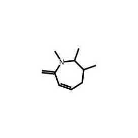 C=C1C=CCC(C)C(C)N1C